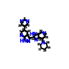 c1ncc(-c2cnc3[nH]nc(-c4nc5c(N6CCCCC6)cncc5[nH]4)c3c2)cn1